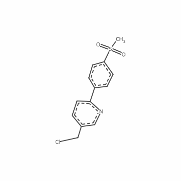 CS(=O)(=O)c1ccc(-c2ccc(CCl)cn2)cc1